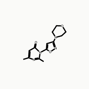 Cc1cc(=O)n(-c2cc(N3CCOCC3)no2)c(C)n1